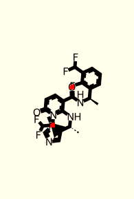 C[C@@H](NC(=O)c1ccc(=O)n(C2(C(F)F)CC2)c1N[C@H](C)c1cncn1C)c1cccc(C(F)F)c1F